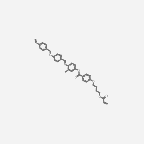 C=CC(=O)OCCCCOc1ccc(C(=O)Oc2ccc(/N=C/c3ccc(OCc4ccc(C=C)cc4)cc3)c(C)c2)cc1